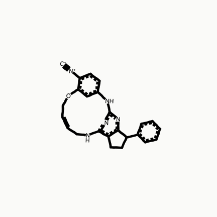 [C-]#[N+]c1ccc2cc1OC/C=C\CNc1nc(nc3c1CCC3c1ccccc1)N2